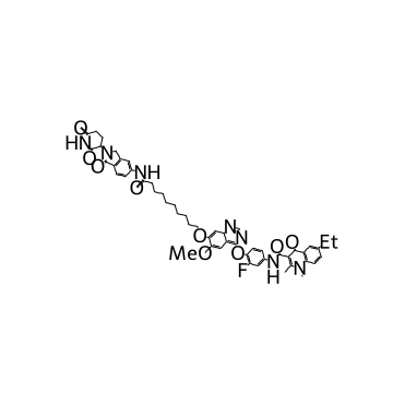 CCc1ccc2c(c1)c(=O)c(C(=O)Nc1ccc(Oc3ncnc4cc(OCCCCCCCCCC(=O)Nc5ccc6c(c5)CN(C5CCC(=O)NC5=O)C6=O)c(OC)cc34)c(F)c1)c(C)n2C